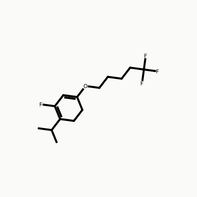 CC(C)C1=C(F)C=C(OCCCCC(F)(F)F)CC1